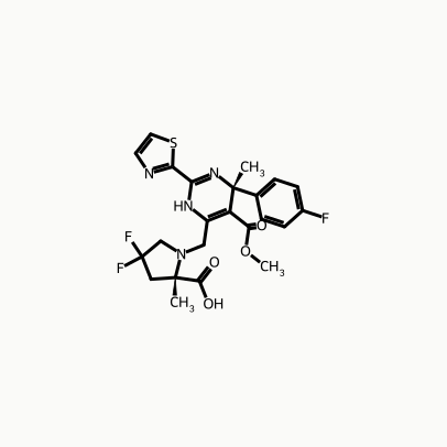 COC(=O)C1=C(CN2CC(F)(F)C[C@@]2(C)C(=O)O)NC(c2nccs2)=N[C@]1(C)c1ccc(F)cc1